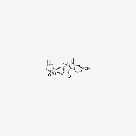 CC1(C)c2cc(C3CNCCS3(=O)=O)ccc2C(=O)c2c1[nH]c1cc(C#N)ccc21